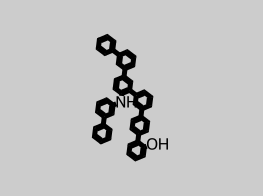 Oc1ccccc1-c1ccc(-c2cccc(-c3cc(-c4cccc(-c5ccccc5)c4)ccc3Nc3cccc(-c4ccccc4)c3)c2)cc1